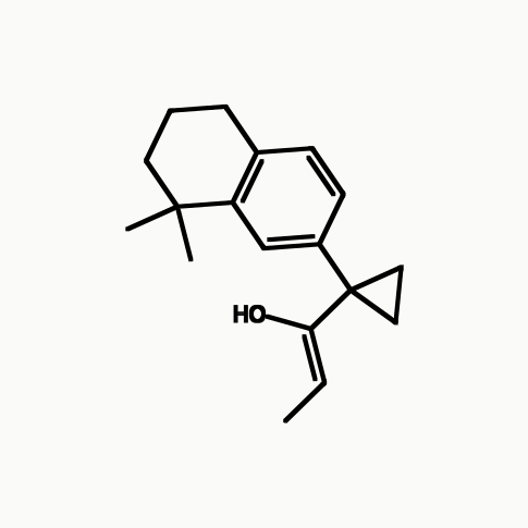 CC=C(O)C1(c2ccc3c(c2)C(C)(C)CCC3)CC1